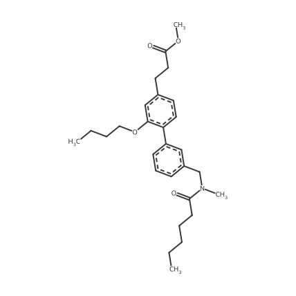 CCCCCC(=O)N(C)Cc1cccc(-c2ccc(CCC(=O)OC)cc2OCCCC)c1